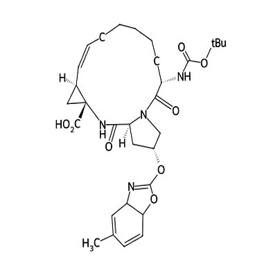 CC1=CC2N=C(O[C@@H]3C[C@H]4C(=O)N[C@]5(C(=O)O)C[C@H]5/C=C\CCCCC[C@H](NC(=O)OC(C)(C)C)C(=O)N4C3)OC2C=C1